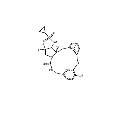 O=C1NCc2ccc(Cl)c(n2)Oc2cccc(c2F)C[C@H]2[C@@H](NS(=O)(=O)C3CC3)C(F)(F)CN12